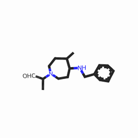 CC1CCN(C(C)C=O)CCC1NCc1ccccc1